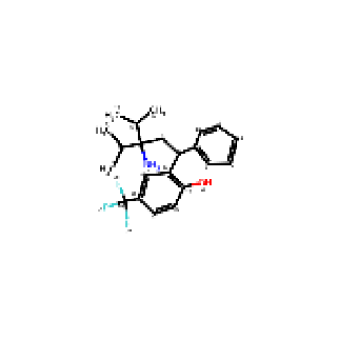 CC(C)C(N)(CC(c1ccccc1)c1cc(C(F)(F)F)ccc1O)C(C)C